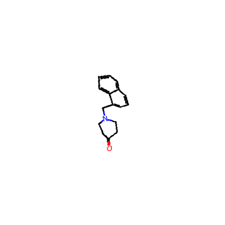 O=C1CCN(Cc2cccc3ccccc23)CC1